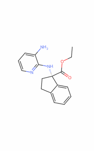 CCOC(=O)[C@]1(Nc2ncccc2N)CCc2ccccc21